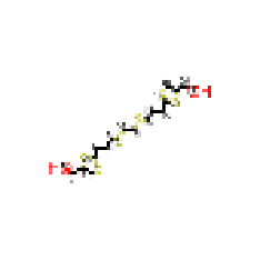 OCC1CSC(CCCSCCSCCCC2SCC(CO)S2)S1